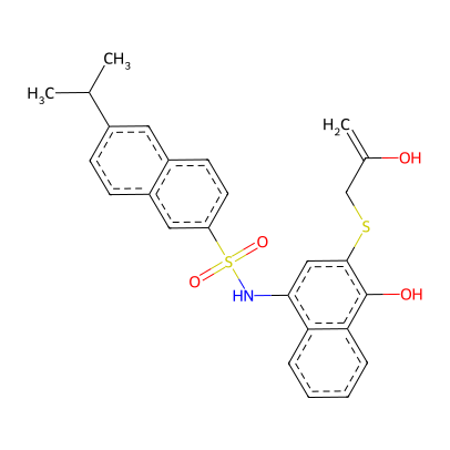 C=C(O)CSc1cc(NS(=O)(=O)c2ccc3cc(C(C)C)ccc3c2)c2ccccc2c1O